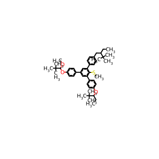 CCC(Cc1ccc(-c2cc(-c3ccc(OC(OC)C(C)(C)C)cc3)cc(-c3ccc(OC(CC)C(C)(C)C)cc3)c2SC)cc1)C(C)(C)C